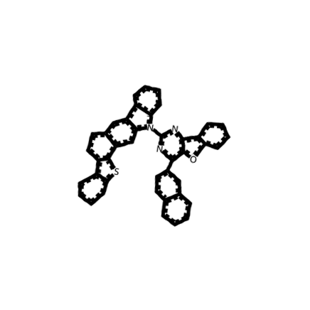 c1ccc2cc(-c3nc(-n4c5ccccc5c5cc6ccc7c8ccccc8sc7c6cc54)nc4c3oc3ccccc34)ccc2c1